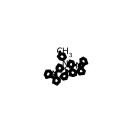 Cc1ccc(N2c3ccc(-n4c5ccccc5c5ccccc54)cc3S(c3ccccc3)(c3ccccc3)c3cc(-n4c5ccccc5c5ccccc54)ccc32)cc1